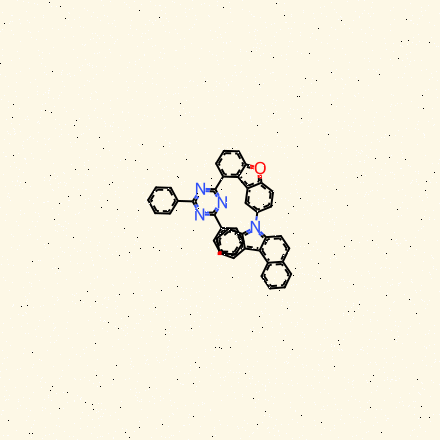 c1ccc(-c2nc(-c3ccccc3)nc(-c3cccc4oc5ccc(-n6c7ccccc7c7c8ccccc8ccc76)cc5c34)n2)cc1